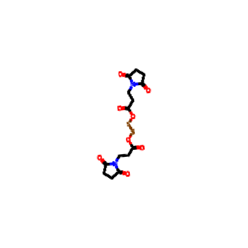 O=C(CCN1C(=O)CCC1=O)OSSOC(=O)CCN1C(=O)CCC1=O